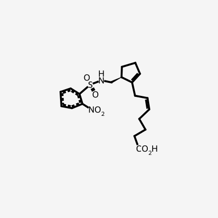 O=C(O)CCC/C=C\CC1=CCC[C@@H]1CNS(=O)(=O)c1ccccc1[N+](=O)[O-]